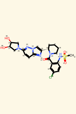 CS(=O)(=O)Nc1ccc(Cl)cc1C(=O)N1CCCC[C@H]1c1cn2nc(N3C[C@@H](O)[C@@H](O)C3)ccc2n1